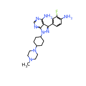 CN1CCN(C2CCC(n3nc(-c4ccc(N)c(F)c4)c4c(N)ncnc43)CC2)CC1